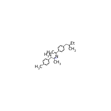 C=C(CC)Cc1ccc(C(=C)/N=C(/C)C(C)c2ccc(C)cc2)cc1